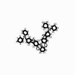 c1ccc(N(c2ccccc2)c2ccc3c(c2)sc2cc4c(cc23)Oc2cccc3c2B4c2cc4sc5cc(N(c6ccccc6)c6ccccc6)ccc5c4cc2O3)cc1